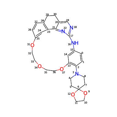 c1cc(N2CCC3(CC2)OCCO3)c2cc1Nc1ncc3c(n1)-c1cc(ccc1CC3)OCCOCCO2